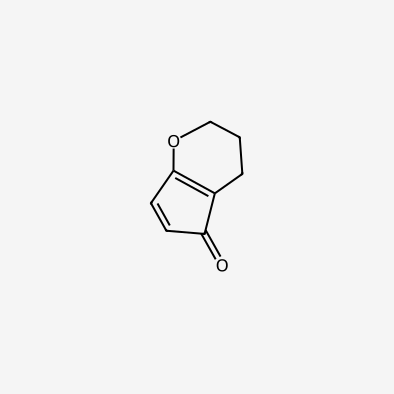 O=C1C=CC2=C1CCCO2